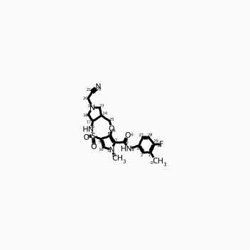 Cc1cc(NC(=O)c2c3c(cn2C)S(=O)(=O)NC2CN(CC#N)CC2CO3)ccc1F